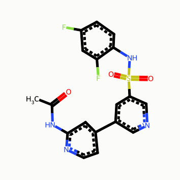 CC(=O)Nc1cc(-c2cncc(S(=O)(=O)Nc3ccc(F)cc3F)c2)ccn1